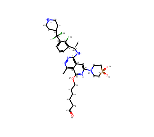 Cc1nnc(N[C@H](C)c2cccc(C(F)(F)C3CCNCC3)c2F)c2cc(N3CCS(=O)(=O)CC3)nc(OCCCCCC=O)c12